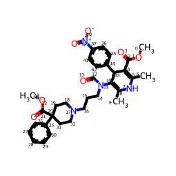 COC(=O)C1=C(C)NC(C)=C(N(C=O)CCCN2CCC(C(=O)OC)(c3ccccc3)CC2)C1c1ccc([N+](=O)[O-])cc1